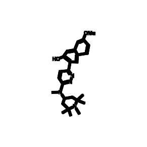 COc1ccc2cc(-c3ccc(N(C)C4CC(C)(C)N(C)C(C)(C)C4)nn3)c(O)cc2c1